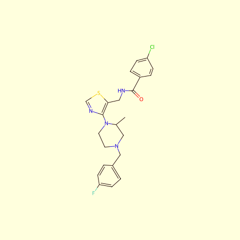 CC1CN(Cc2ccc(F)cc2)CCN1c1ncsc1CNC(=O)c1ccc(Cl)cc1